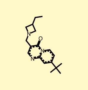 CCC1CN(Cc2cnc3cc(C(C)(C)C)ccn3c2=O)C1